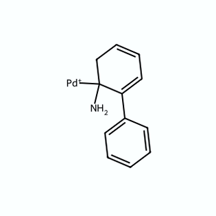 N[C]1([Pd+])CC=CC=C1c1ccccc1